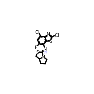 Fc1cc(Cl)c2nc(Cl)sc2c1/N=C1\SCC2CCCN12